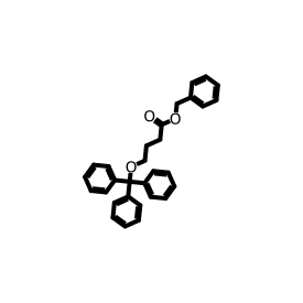 O=C(CCCOC(c1ccccc1)(c1ccccc1)c1ccccc1)OCc1ccccc1